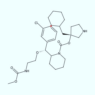 COC(=O)NCCO[C@H](c1cccc(Cl)c1)C1CCCCN1C(=O)O[C@]1(CC2CCCCC2)CCNC1